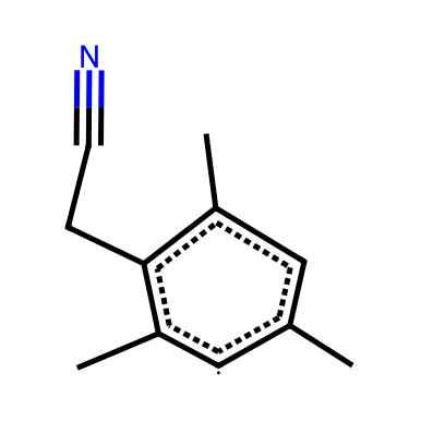 Cc1[c]c(C)c(CC#N)c(C)c1